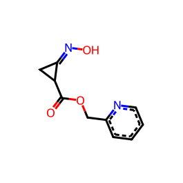 O=C(OCc1ccccn1)C1CC1=NO